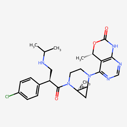 CC(C)NC[C@@H](C(=O)N1CCN(c2ncnc3c2[C@H](C)OC(=O)N3)[C@H]2C[C@]21C)c1ccc(Cl)cc1